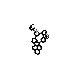 c1ccc(-c2cc(-c3ccccc3)nc(-c3cccc4oc5ccc(-c6ccc7ccc8cccc9ccc6c7c89)cc5c34)c2)cc1